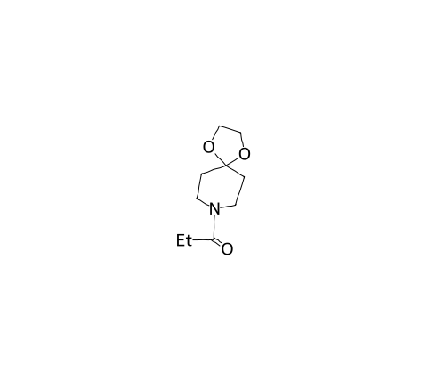 CCC(=O)N1CCC2(CC1)OCCO2